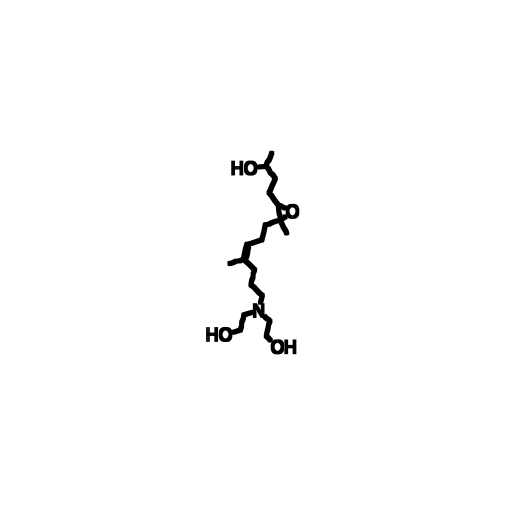 C/C(=C/CCC1(C)OC1CCC(C)O)CCCN(CCO)CCO